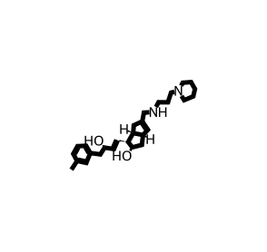 Cc1cccc(C[C@H](O)/C=C/[C@@H]2[C@H]3CC(CNCCCN4CCCCC4)=C[C@H]3C[C@H]2O)c1